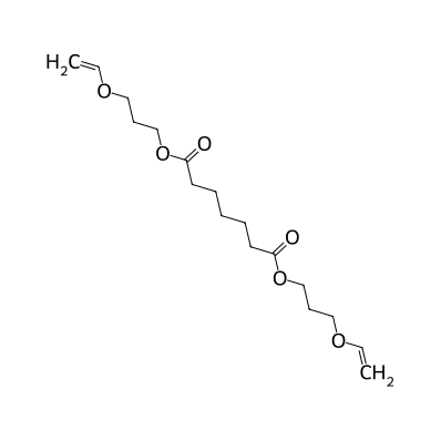 C=COCCCOC(=O)CCCCCC(=O)OCCCOC=C